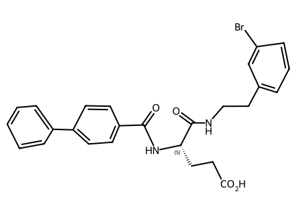 O=C(O)CC[C@H](NC(=O)c1ccc(-c2ccccc2)cc1)C(=O)NCCc1cccc(Br)c1